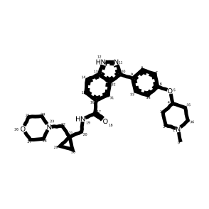 CN1CCC(Oc2ccc(-c3n[nH]c4ccc(C(=O)NCC5(CN6CCOCC6)CC5)cc34)cc2)CC1